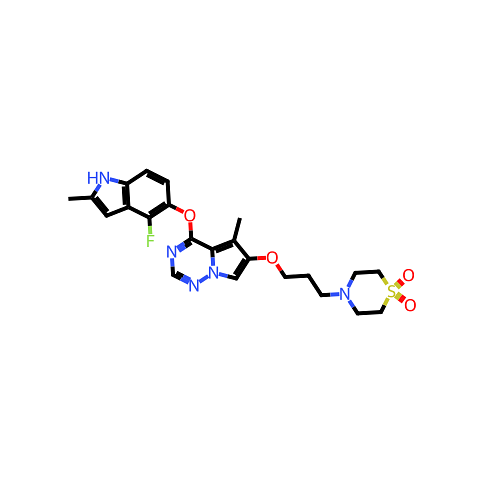 Cc1cc2c(F)c(Oc3ncnn4cc(OCCCN5CCS(=O)(=O)CC5)c(C)c34)ccc2[nH]1